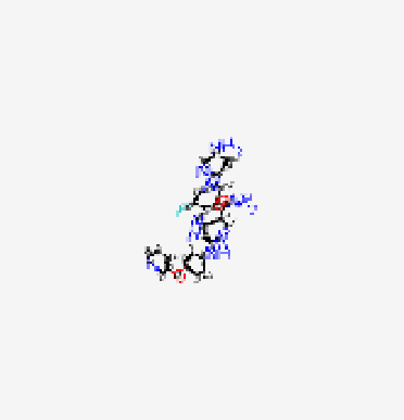 NC(=O)c1cnc(Nc2ccc(Oc3cccnc3)cc2)cc1N[C@@H]1CCN(c2ccc(N)cn2)C[C@@H]1F